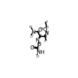 CCO/N=C(C)\C(=N/OC(=O)NC)C(=O)N(C)C